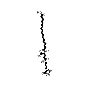 O=C(O)CCCCCCCCCCCCCCCCC(=O)N[C@@H](CCC(=O)NCCCC[C@H](NF)C(=O)O)C(=O)O